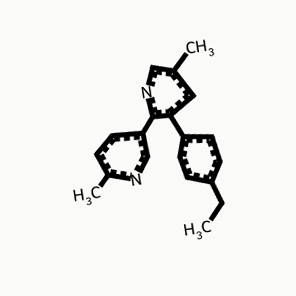 CCc1ccc(-c2cc(C)cnc2-c2ccc(C)nc2)cc1